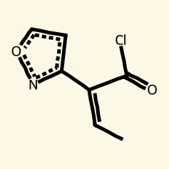 CC=C(C(=O)Cl)c1ccon1